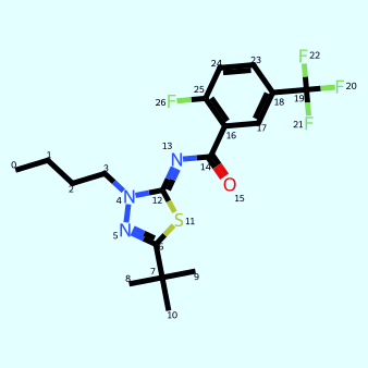 CCCCn1nc(C(C)(C)C)sc1=NC(=O)c1cc(C(F)(F)F)ccc1F